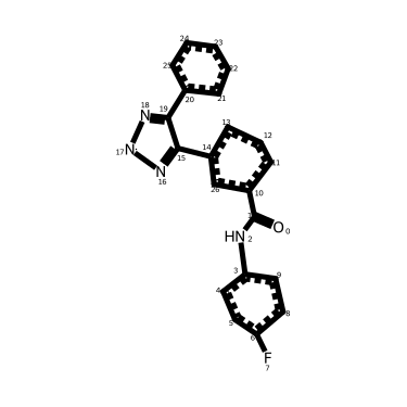 O=C(Nc1ccc(F)cc1)c1cccc(C2=N[N]N=C2c2ccccc2)c1